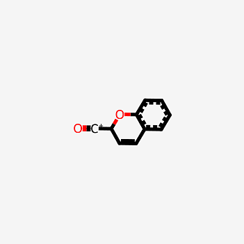 O=[C+]C1C=Cc2ccccc2O1